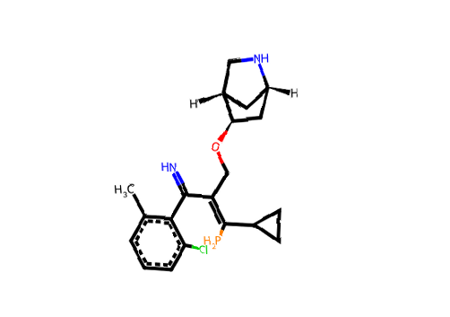 Cc1cccc(Cl)c1C(=N)/C(CO[C@@H]1C[C@@H]2C[C@H]1CN2)=C(\P)C1CC1